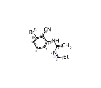 C=C(/N=C\CC)Nc1cccc(Br)c1C#N